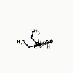 CCCCCCCC/C=C\CCCCCCCC(=O)OCC(CNC(=O)OCCSSCCOC(=O)NCCN1CCCCCC1)OC(=O)CCCCCCC/C=C\CCCCCCCC